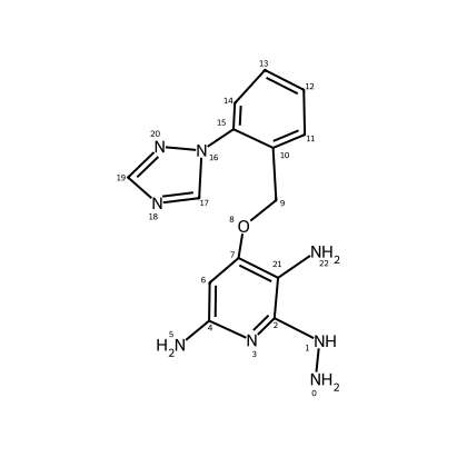 NNc1nc(N)cc(OCc2ccccc2-n2cncn2)c1N